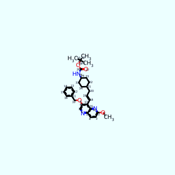 COc1ccc2ncc(OCc3ccccc3)c(C=CCC3CCC(NC(=O)OC(C)(C)C)CC3)c2n1